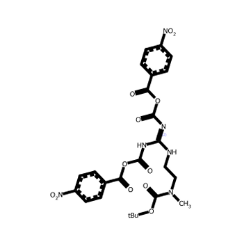 CN(CCN/C(=N/C(=O)OC(=O)c1ccc([N+](=O)[O-])cc1)NC(=O)OC(=O)c1ccc([N+](=O)[O-])cc1)C(=O)OC(C)(C)C